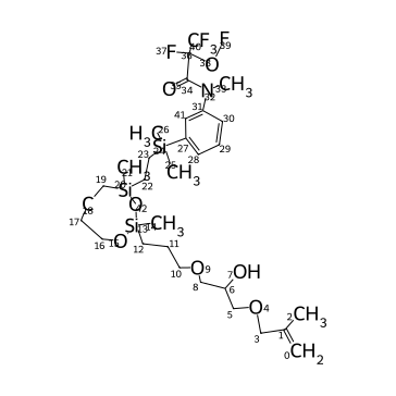 C=C(C)COCC(O)COCCC[Si]1(C)OCCCC[Si](C)(CC[Si](C)(C)c2cccc(N(C)C(=O)C(F)(OF)C(F)(F)F)c2)O1